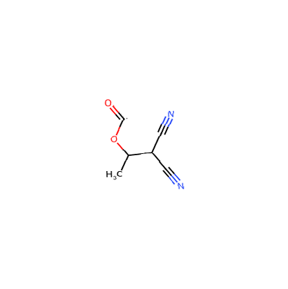 CC(O[C]=O)C(C#N)C#N